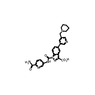 NC(=O)c1ccc(NC(=O)n2nc(C(=O)O)c3cc(-c4cncc(CN5CCCCC5)c4)ccc32)cn1